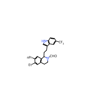 CCCc1cc2c(cc1CC)CCN(C=O)C2CCc1c[nH]c2ccc(C(F)(F)F)cc12